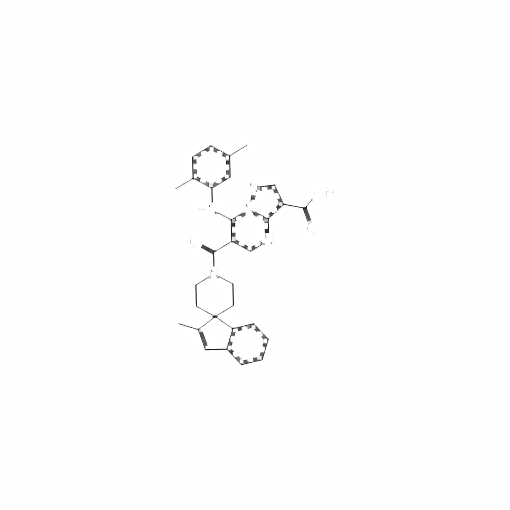 CC1=Cc2ccccc2C12CCN(C(=O)c1cnc3c(C(=O)O)cnn3c1Nc1cc(C)ccc1C)CC2